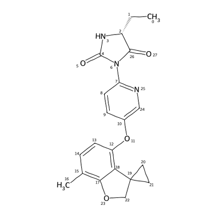 CC[C@H]1NC(=O)N(c2ccc(Oc3ccc(C)c4c3C3(CC3)CO4)cn2)C1=O